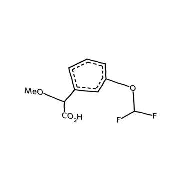 COC(C(=O)O)c1cccc(OC(F)F)c1